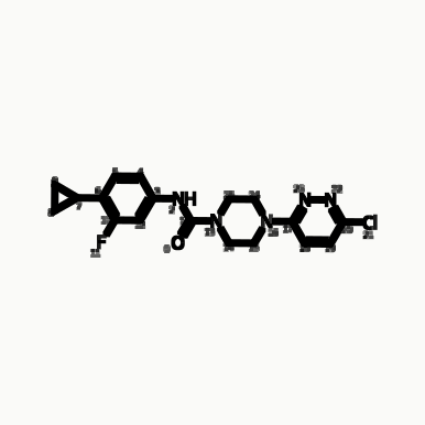 O=C(Nc1ccc(C2CC2)c(F)c1)N1CCN(c2ccc(Cl)nn2)CC1